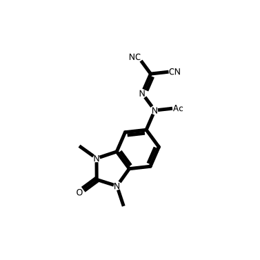 CC(=O)N(N=C(C#N)C#N)c1ccc2c(c1)n(C)c(=O)n2C